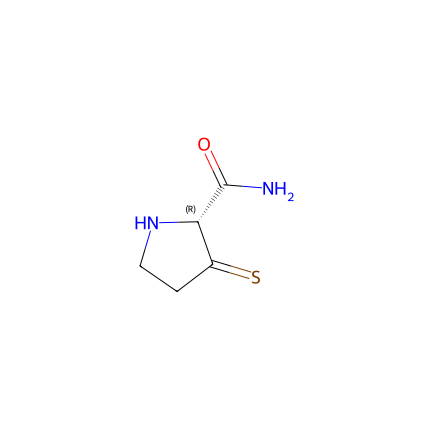 NC(=O)[C@H]1NCCC1=S